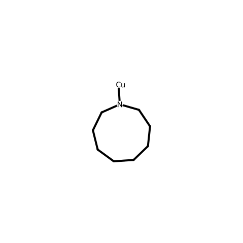 [Cu][N]1CCCCCCCC1